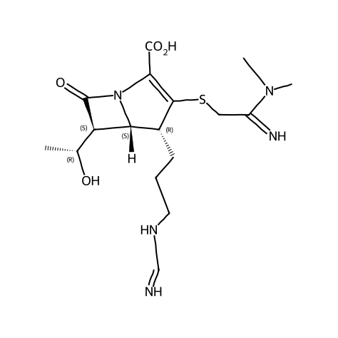 C[C@@H](O)[C@H]1C(=O)N2C(C(=O)O)=C(SCC(=N)N(C)C)[C@H](CCCNC=N)[C@H]12